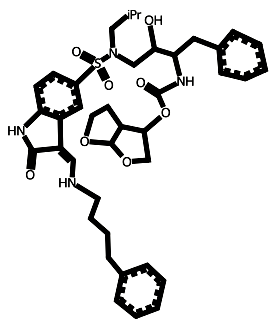 CC(C)CN(CC(O)C(Cc1ccccc1)NC(=O)OC1COC2OCCC12)S(=O)(=O)c1ccc2c(c1)C(=CNCCCCc1ccccc1)C(=O)N2